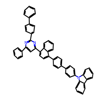 c1ccc(-c2ccc(-c3nc(-c4ccccc4)cc(-c4ccc(-c5ccc(-c6ccc(-n7c8ccccc8c8ccccc87)cc6)cc5)c5ccccc45)n3)cc2)cc1